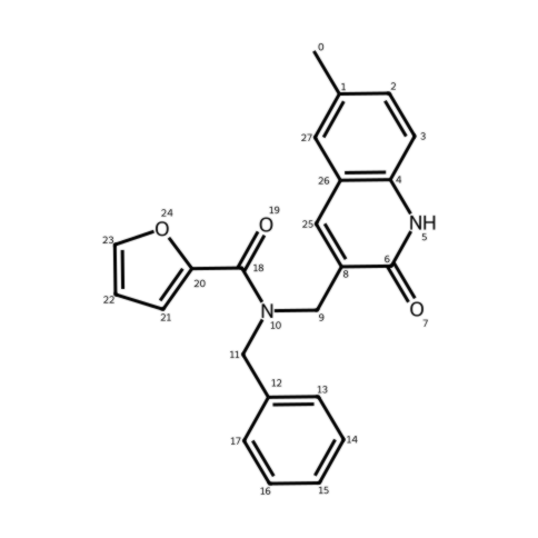 Cc1ccc2[nH]c(=O)c(CN(Cc3ccccc3)C(=O)c3ccco3)cc2c1